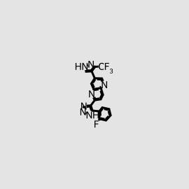 Fc1ccccc1-c1[nH]nnc1-c1ccc2ncc(-c3c[nH]nc3C(F)(F)F)cc2n1